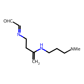 C=C(CC/N=C/C=O)NCCCNC